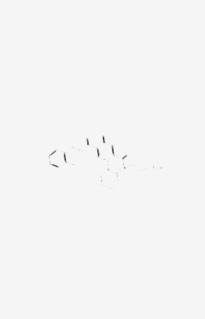 COCCC1(C)C(=O)c2c(O)c(=O)c(C(=O)NCc3ccc(F)cc3F)cn2C2CCCOC21